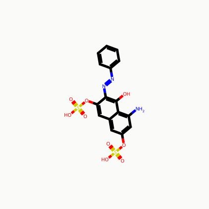 Nc1cc(OS(=O)(=O)O)cc2cc(OS(=O)(=O)O)c(N=Nc3ccccc3)c(O)c12